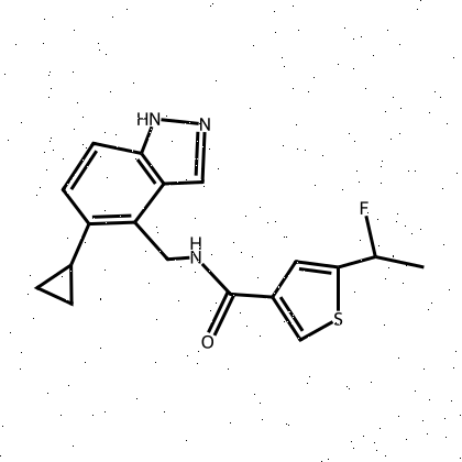 CC(F)c1cc(C(=O)NCc2c(C3CC3)ccc3[nH]ncc23)cs1